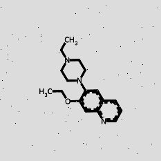 CCOc1cc2ncccc2cc1N1CCN(CC)CC1